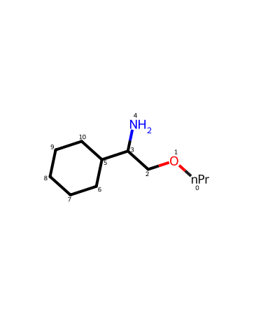 CCCOCC(N)C1CCCCC1